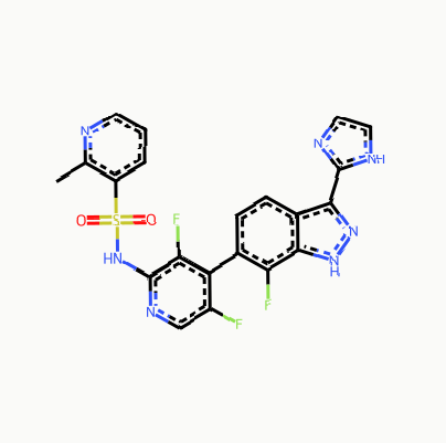 Cc1ncccc1S(=O)(=O)Nc1ncc(F)c(-c2ccc3c(-c4ncc[nH]4)n[nH]c3c2F)c1F